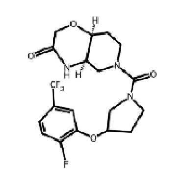 O=C1CO[C@H]2CCN(C(=O)N3CCC(Oc4cc(C(F)(F)F)ccc4F)C3)C[C@H]2N1